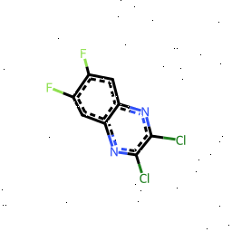 Fc1cc2nc(Cl)c(Cl)nc2cc1F